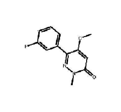 COc1cc(=O)n(C)nc1-c1cc[c]c(F)c1